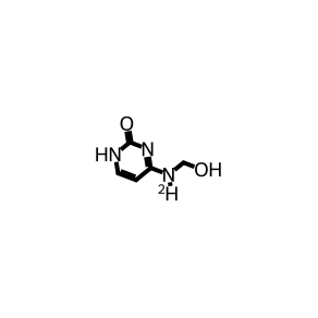 [2H]N(CO)c1cc[nH]c(=O)n1